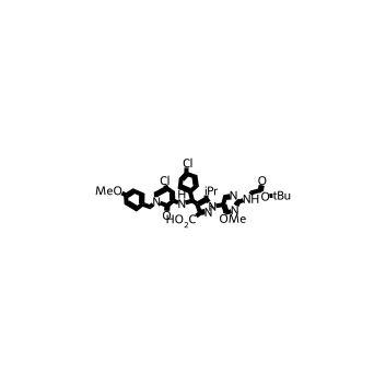 COc1ccc(Cn2cc(Cl)cc(NC(c3ccc(Cl)cc3)c3c(C(=O)O)nn(-c4cnc(NCC(=O)OC(C)(C)C)nc4OC)c3C(C)C)c2=O)cc1